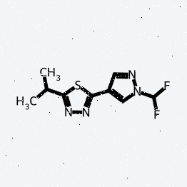 CC(C)c1nnc(-c2cnn(C(F)F)c2)s1